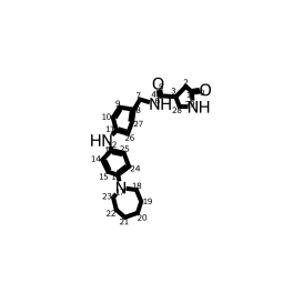 O=C1CC(C(=O)NCc2ccc(Nc3ccc(N4CCCCCC4)cc3)cc2)CN1